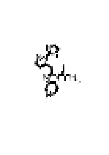 CC(I)n1c(Cc2ccnn2-c2nccs2)nc2cnccc21